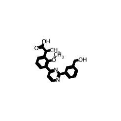 COc1c(-c2ccnc(-c3cccc(CO)c3)n2)cccc1C(C)C(=O)O